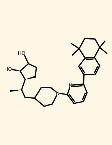 C[C@H](CC1CCN(c2cccc(-c3ccc4c(c3)C(C)(C)CCC4(C)C)n2)CC1)[C@@H]1CCC(O)[C@@H]1O